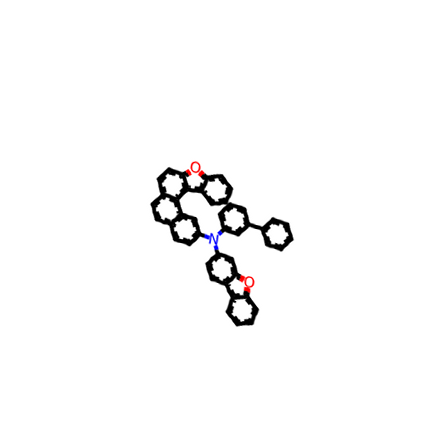 c1ccc(-c2cccc(N(c3ccc4c(c3)oc3ccccc34)c3ccc4ccc5ccc6oc7ccccc7c6c5c4c3)c2)cc1